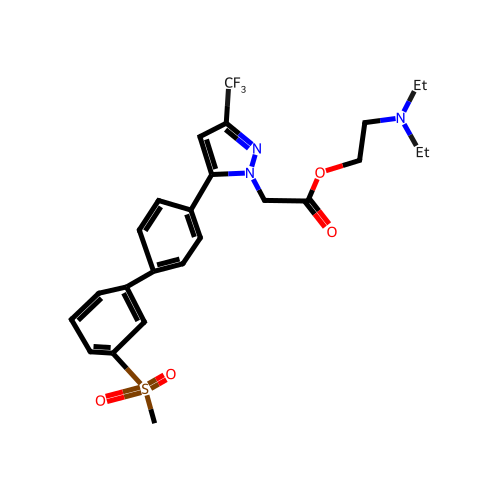 CCN(CC)CCOC(=O)Cn1nc(C(F)(F)F)cc1-c1ccc(-c2cccc(S(C)(=O)=O)c2)cc1